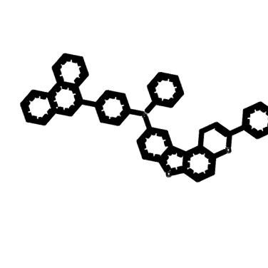 C1=C(c2ccccc2)Oc2ccc3oc4ccc(N(c5ccccc5)c5ccc(-c6cc7ccccc7c7ccccc67)cc5)cc4c3c2C1